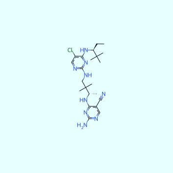 CC[C@H](Nc1nc(NCC(C)(C)[C@H](C)Nc2nc(N)ncc2C#N)ncc1Cl)C(C)(C)C